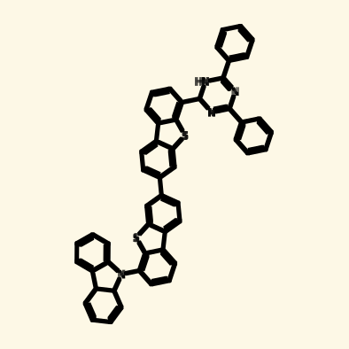 C1=CC2c3ccccc3N(c3cccc4c3sc3cc(-c5ccc6c(c5)sc5c(C7N=C(c8ccccc8)N=C(c8ccccc8)N7)cccc56)ccc34)C2C=C1